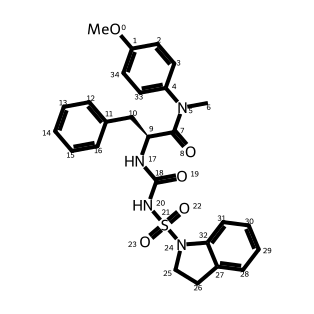 COc1ccc(N(C)C(=O)[C@H](Cc2ccccc2)NC(=O)NS(=O)(=O)N2CCc3ccccc32)cc1